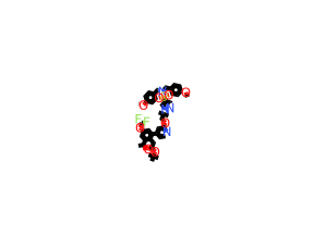 COc1ccc(CN(Cc2ccc(OC)cc2)S(=O)(=O)c2cnn(C(C)(C)COc3cc(-c4cc(OC(F)F)cc(C(C)C)c4CC(=O)OC(C)(C)C)ccn3)c2)cc1